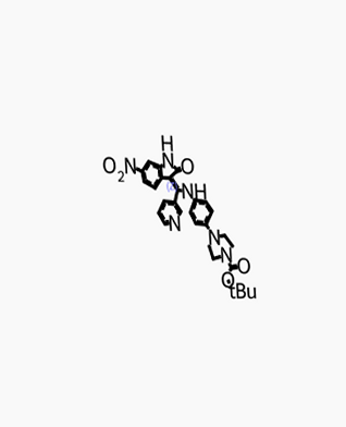 CC(C)(C)OC(=O)N1CCN(c2ccc(N/C(=C3\C(=O)Nc4cc([N+](=O)[O-])ccc43)c3cccnc3)cc2)CC1